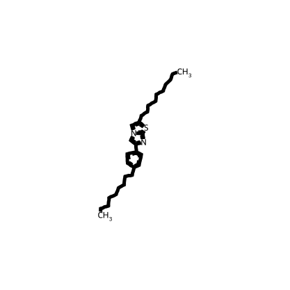 CCCCCCCCCCc1cn2cc(-c3ccc(CCCCCCCCC)cc3)nc2s1